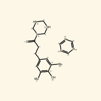 CC(C)(C)c1cc(CCC(=O)N2CNCNC2)cc(C(C)(C)C)c1O.c1ncncn1